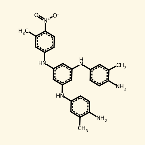 Cc1cc(Nc2cc(Nc3ccc(N)c(C)c3)cc(Nc3ccc([N+](=O)[O-])c(C)c3)c2)ccc1N